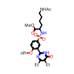 CCCOc1ccc(S(=O)(=O)NC(CCCCNC(C)=O)C(=O)OC)cc1-c1nc(CC)c(CC)c(=O)[nH]1